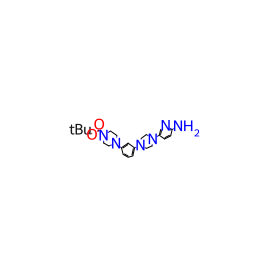 CC(C)(C)OC(=O)N1CCN(c2cccc(N3CCN(c4ccc(N)nc4)CC3)c2)CC1